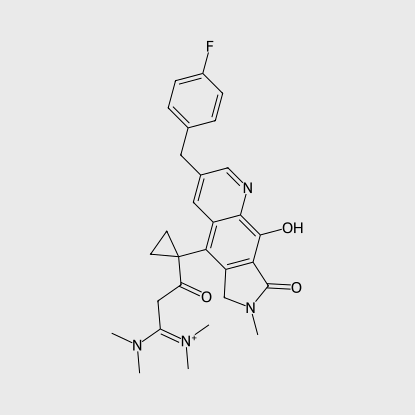 CN(C)C(CC(=O)C1(c2c3c(c(O)c4ncc(Cc5ccc(F)cc5)cc24)C(=O)N(C)C3)CC1)=[N+](C)C